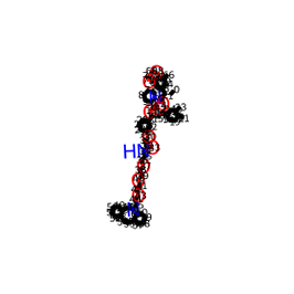 CC[C@H](C(=O)N1CCCC[C@H]1C(=O)O[C@H](CCc1ccc(C)c(C)c1)c1cccc(OCC(=O)NCCOCCOCCOCCN2Cc3ccccc3C#Cc3ccccc32)c1)c1cc(C)c(OC)c(OC)c1